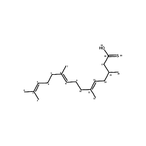 CC(C)=CCCC(C)=CCCC(C)=CCC(C)CC(O)=S